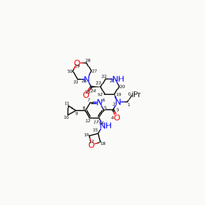 CC(C)CN(C(=O)c1ncc(C2CC2)cc1NC1COC1)[C@@H]1CNC[C@H](C(=O)N2CCOCC2)C1